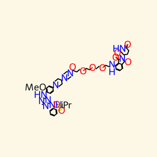 COc1cc(N2CCC(N3CCN(C(=O)CCOCCOCCOCCNc4cccc5c4C(=O)N(C4CCC(=O)NC4=O)C5=O)CC3)CC2)ccc1Nc1ncnc(Nc2ccccc2S(=O)(=O)C(C)C)n1